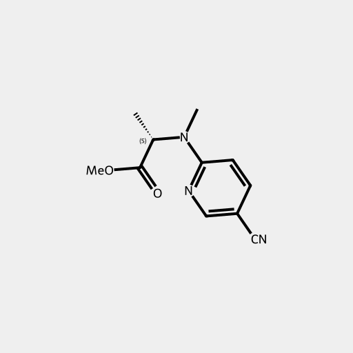 COC(=O)[C@H](C)N(C)c1ccc(C#N)cn1